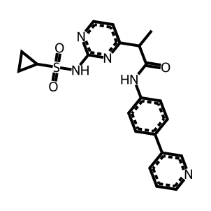 CC(C(=O)Nc1ccc(-c2cccnc2)cc1)c1ccnc(NS(=O)(=O)C2CC2)n1